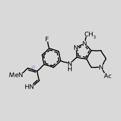 CN/C=C(\C=N)c1cc(F)cc(Nc2nn(C)c3c2CN(C(C)=O)CC3)c1